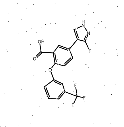 O=C(O)c1cc(-c2c[nH]nc2F)ccc1Oc1cccc(C(F)(F)F)c1